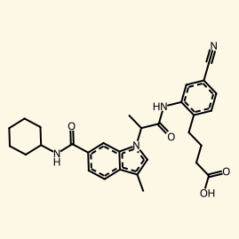 Cc1cn(C(C)C(=O)Nc2cc(C#N)ccc2CCCC(=O)O)c2cc(C(=O)NC3CCCCC3)ccc12